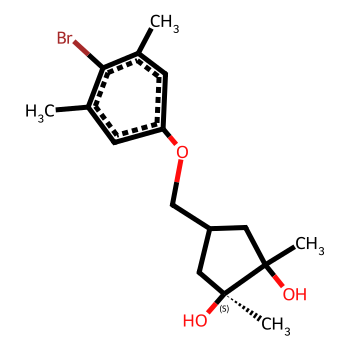 Cc1cc(OCC2CC(C)(O)[C@@](C)(O)C2)cc(C)c1Br